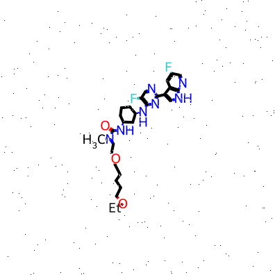 CCOCCCCCOCCN(C)C(=O)N[C@H]1CCC[C@@H](Nc2nc(-c3c[nH]c4ncc(F)cc34)ncc2F)C1